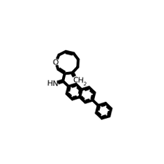 C=C1CC/C=C\CO/C=C\1C(=N)c1ccc2cc(-c3ccccc3)ccc2c1